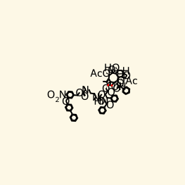 CC(=O)O[C@H]1C(=O)[C@@]2(C)[C@H]([C@H](OC(=O)c3ccccc3)[C@]3(O)C[C@H](OC(=O)[C@H](OC(=O)N(C)CCCN(C)C(=O)OCc4ccc([N+](=O)[O-])c(Oc5ccc(-c6ccccc6)cc5)c4)[C@@H](NC(=O)c4ccccc4)c4ccccc4)C(C)=C1C3(C)C)[C@]1(OC(C)=O)CO[C@@H]1C[C@@H]2O